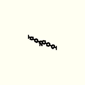 Ic1ccc(-c2ccc(-c3cnc4cc(-c5ccc(-c6ccc(I)cc6)cc5)ccc4c3)cc2)cc1